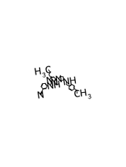 CCCc1cc(N2CC[C@H](NCc3ccc(CC)cc3)C2)nc(Nc2cccc(C#N)c2)n1